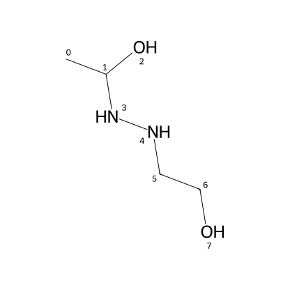 CC(O)NNCCO